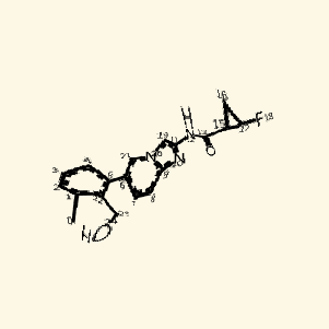 Cc1cccc(-c2ccc3nc(NC(=O)C4CC4F)cn3c2)c1CO